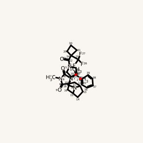 CC(C)N1C(=O)N(C)C(=O)C12CC1CCC(C2)N1C[C@H]1CN(C(=O)C2(C(F)(F)F)CCC2)C[C@@H]1c1ccccc1